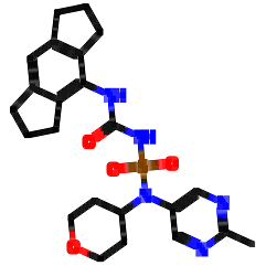 Cc1ncc(N(C2CCOCC2)S(=O)(=O)NC(=O)Nc2c3c(cc4c2CCC4)CCC3)cn1